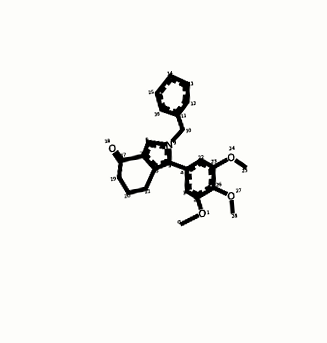 COc1cc(-c2c3c(cn2Cc2ccccc2)C(=O)CCC3)cc(OC)c1OC